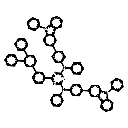 c1ccc(-c2ccc(-c3cccc(-c4nc(N(c5ccccc5)c5ccc(-c6ccc7c(c6)c6ccccc6n7-c6ccccc6)cc5)nc(N(c5ccccc5)c5ccc(-c6ccc7c(c6)c6ccccc6n7-c6ccccc6)cc5)n4)c3)cc2-c2ccccc2)cc1